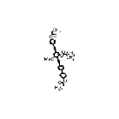 C=CC(=O)Oc1ccc(C#Cc2cc(OC)c(C#Cc3ccc(-c4ccc(OC(=O)C=C)cc4)cc3)c(OC(=O)C(=C)C)c2)cc1